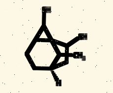 CC1[C@@H]2CCC3C(S)C31C(S)C2